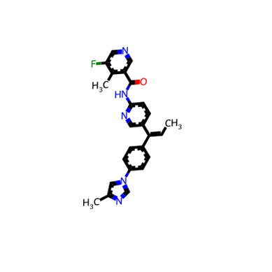 CC=C(c1ccc(-n2cnc(C)c2)cc1)c1ccc(NC(=O)c2cncc(F)c2C)nc1